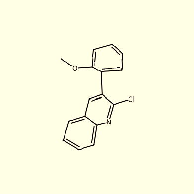 COc1ccccc1-c1cc2ccccc2nc1Cl